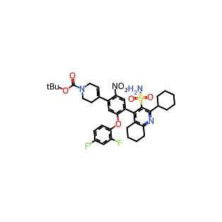 CC(C)(C)OC(=O)N1CC=C(c2cc(Oc3ccc(F)cc3F)c(-c3c4c(nc(C5CCCCC5)c3S(N)(=O)=O)CCCC4)cc2[N+](=O)[O-])CC1